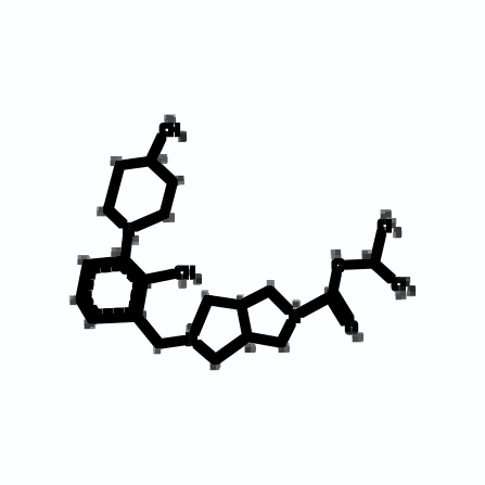 Cc1c(CN2CC3CN(C(=O)OC(C(F)(F)F)C(F)(F)F)CC3C2)cccc1N1CCC(C)CC1